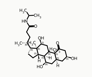 CC(C)NC(=O)CC[C@@H](C)[C@H]1CC[C@H]2[C@@H]3[C@H](O)C[C@@H]4C[C@H](O)CC(=O)[C@]4(C)[C@H]3C[C@H](O)[C@]12C